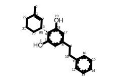 CC1=C[C@H](c2c(O)cc(CCc3ccccc3)cc2O)CCC1